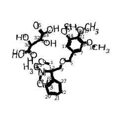 CC[C@](COCc1cc(OC)c(OC)c(OC)c1)(c1ccccc1)N(C)C.O=C(O)C(O)C(O)C(=O)O